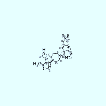 CC(C)[C@@H](N[C@H]1CCCN(c2ncnc3sc(CC(F)(F)F)cc23)CC1)C1CNC1